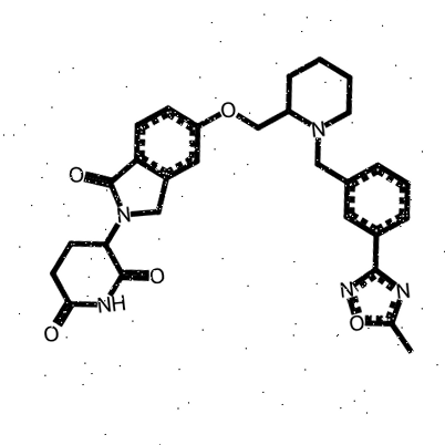 Cc1nc(-c2cccc(CN3CCCCC3COc3ccc4c(c3)CN(C3CCC(=O)NC3=O)C4=O)c2)no1